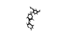 CC1CCN(C2CCN(Sc3ccc(F)cc3F)CC2)CC1